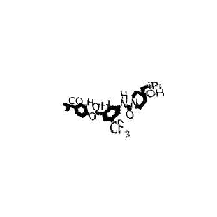 CC(C)CC1(O)CCN(C(=O)Nc2cc(C(O)Oc3ccc(C(C)(C)C(=O)O)cc3)cc(C(F)(F)F)c2)CC1